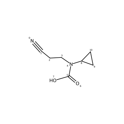 N#CCCN(C(=O)O)C1CC1